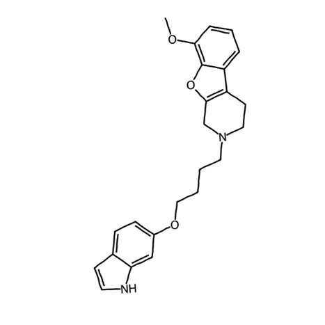 COc1cccc2c3c(oc12)CN(CCCCOc1ccc2cc[nH]c2c1)CC3